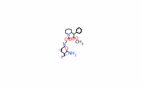 COC(=O)C(c1ccccc1)C1CCCCN1C(=O)OC/N=C/C=C\C(=C/I)C(N)=O